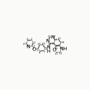 c1ccc(Oc2ccc(Nc3ncnc4ccc5c(c34)OCCN5)cc2)nc1